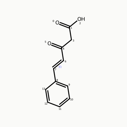 O=C(O)CC(=O)/C=C/c1ccccc1